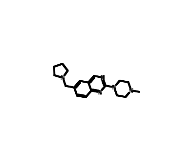 CN1CCN(c2ncc3cc(CN4CCCC4)ccc3n2)CC1